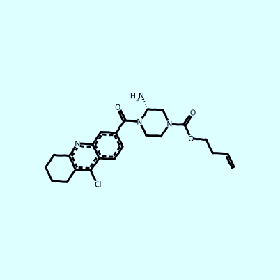 C=CCCOC(=O)N1CCN(C(=O)c2ccc3c(Cl)c4c(nc3c2)CCCC4)[C@H](N)C1